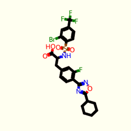 O=C(O)C(Cc1ccc(-c2noc(C3CCCCC3)n2)c(F)c1)NS(=O)(=O)c1ccc(C(F)(F)F)cc1Br